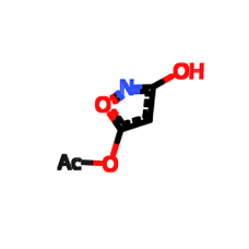 CC(=O)Oc1cc(O)no1